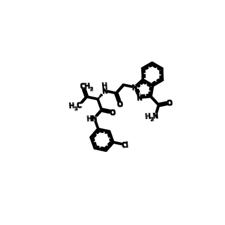 C=C(C)[C@H](NC(=O)Cn1nc(C(N)=O)c2ccccc21)C(=O)Nc1cccc(Cl)c1